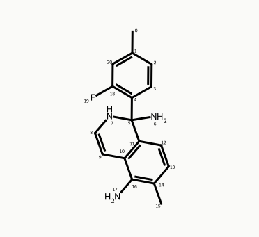 Cc1ccc(C2(N)NC=Cc3c2ccc(C)c3N)c(F)c1